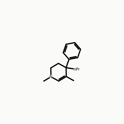 CCCC1(c2ccccc2)CCN(C)C=C1C